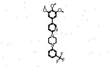 COc1cc(-c2ccc(N3CCN(c4cccc(C(F)(F)F)c4)CC3)nc2)cc(OC)c1OC